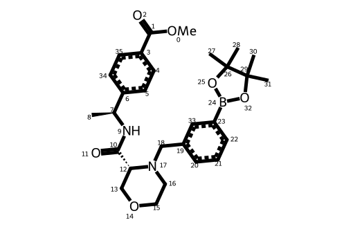 COC(=O)c1ccc([C@H](C)NC(=O)[C@H]2COCCN2Cc2cccc(B3OC(C)(C)C(C)(C)O3)c2)cc1